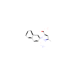 Cc1cc(C(=O)O)n(-c2cc3ccccc3cc2S(N)(=O)=O)n1